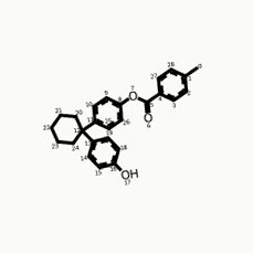 Cc1ccc(C(=O)Oc2ccc(C3(c4ccc(O)cc4)CCCCC3)cc2)cc1